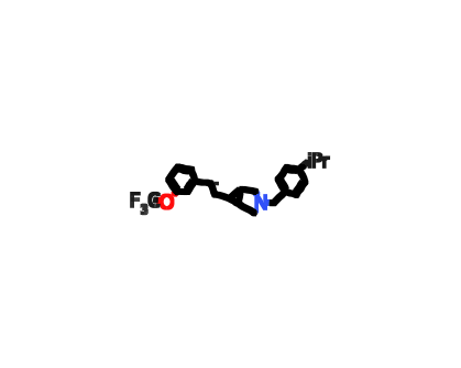 CC(C)c1ccc(CN2CC3C(C[CH]c4cccc(OC(F)(F)F)c4)C3C2)cc1